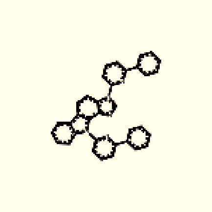 c1ccc(-c2cccc(-n3cnc4c3ccc3c5ccccc5n(-c5cccc(-c6ccccc6)n5)c34)n2)cc1